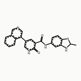 CC1Nc2cc(NC(=O)c3cc(-c4cncc5ccccc45)c[nH]c3=O)ccc2S1